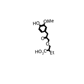 CCC(COCC(=O)Cc1ccc(O)c(OC)c1)C(=O)O